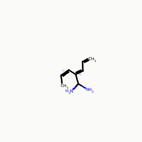 C=C/C=C(\C=C/C)C(N)N